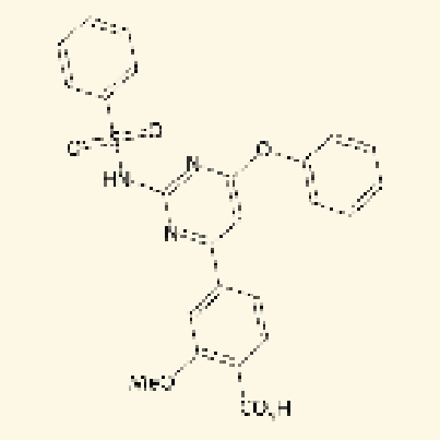 COc1cc(-c2cc(Oc3ccccc3)nc(NS(=O)(=O)c3ccccc3)n2)ccc1C(=O)O